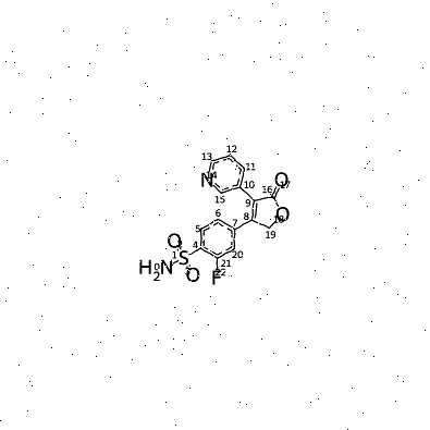 NS(=O)(=O)c1ccc(C2=C(c3cccnc3)C(=O)OC2)cc1F